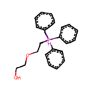 OCCOCC[PH](c1ccccc1)(c1ccccc1)c1ccccc1